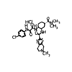 CN1CCc2nc(C(=O)N[C@@H]3C[C@@H](C(=O)N(C)C)CC[C@@H]3NC(=O)C(=O)Nc3ccc(Cl)cc3)sc2C1.Cl